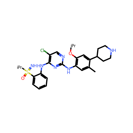 Cc1cc(Nc2ncc(Cl)c(Nc3ccccc3S(=N)(=O)C(C)C)n2)c(OC(C)C)cc1C1CCNCC1